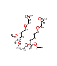 CCO[Si](C)(CCCCOCC1CO1)OCC.CO[Si](C)(CCCOCC1CO1)OC